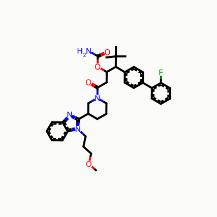 COCCCn1c(C2CCCN(C(=O)CC(OC(N)=O)C(c3ccc(-c4ccccc4F)cc3)C(C)(C)C)C2)nc2ccccc21